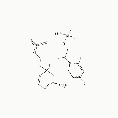 CC1=CC(Cl)=CCN1C(C)CO[Si](C)(C)C(C)(C)C.O=C(O)C1=CC=CC(F)(CCN=S(=O)=O)C1